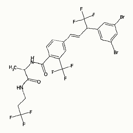 CC(NC(=O)c1ccc(/C=C/C(c2cc(Br)cc(Br)c2)C(F)(F)F)cc1C(F)(F)F)C(=O)NCCC(F)(F)F